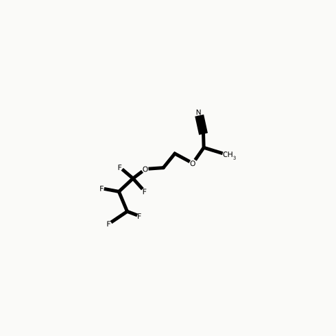 CC(C#N)OCCOC(F)(F)C(F)C(F)F